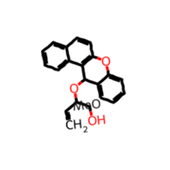 C=CC(CO)OC1c2c(OC)cccc2Oc2ccc3ccccc3c21